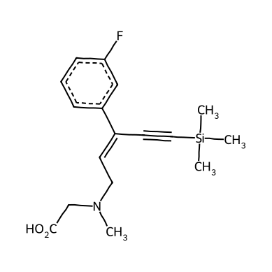 CN(CC=C(C#C[Si](C)(C)C)c1cccc(F)c1)CC(=O)O